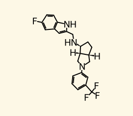 Fc1ccc2[nH]c(CN[C@H]3CC[C@@H]4CN(c5cccc(C(F)(F)F)c5)C[C@@H]43)cc2c1